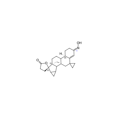 CC[C@]12CCC3C(CC4(CC4)C4=C/C(=N/O)CC[C@@H]43)C1C1CC1[C@@]21CCC(=O)O1